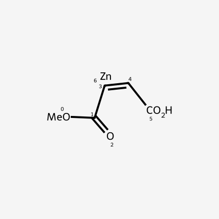 COC(=O)/C=C\C(=O)O.[Zn]